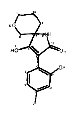 Cc1ccc(C2=C(O)C3(CCCOC3)NC2=O)c(Cl)c1